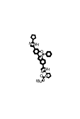 CC(C)(C)OC(=O)N1CCC[C@H]1c1ncc(-c2ccc3c(c2)cc2n3[C@H](c3ccccc3)Oc3cc(-c4cnc(C5CCCC5)[nH]4)ccc3-2)[nH]1